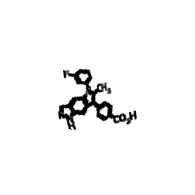 Cc1c(-c2ccc(C(=O)O)cc2)c2cc3[nH]ncc3cc2n1-c1cccc(F)c1